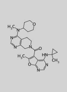 Cc1oc2ncnc(NC3(C)CC3)c2c1C(=O)N1CCc2c(ncnc2N(C)C2CCOCC2)C1